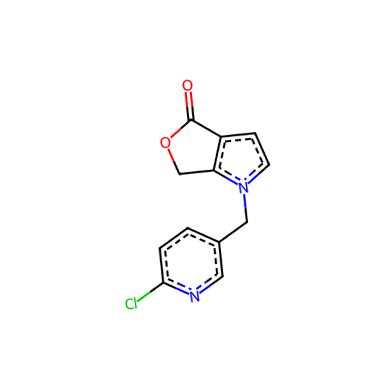 O=C1OCc2c1ccn2Cc1ccc(Cl)nc1